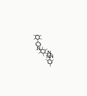 Cc1cc(C)c(-c2ncnc(-c3c(C)c(C)c(N(C)c4ccc(-c5c(C)c(C)cc(C)c5C)cc4)c(C)c3C)n2)c(C)c1